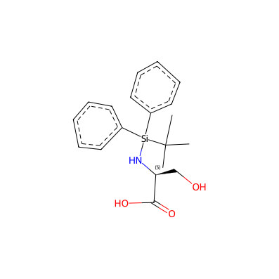 CC(C)(C)[Si](N[C@@H](CO)C(=O)O)(c1ccccc1)c1ccccc1